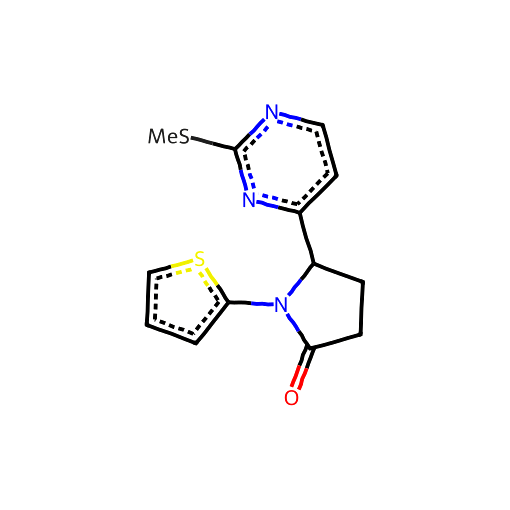 CSc1nccc(C2CCC(=O)N2c2cccs2)n1